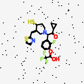 O=C(C1CC1)C(c1ccccc1F)N1CCC(S)C(=Cc2nccs2)C1.O=C(O)C(F)(F)F